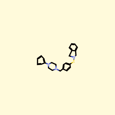 c1ccc(N2CCN(Cc3ccc(SN4Cc5ccccc5C4)cc3)CC2)cc1